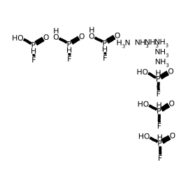 N.N.N.N.N.N.O=[PH](O)F.O=[PH](O)F.O=[PH](O)F.O=[PH](O)F.O=[PH](O)F.O=[PH](O)F